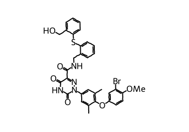 COc1ccc(Oc2c(C)cc(-n3nc(C(=O)NCc4ccccc4Sc4ccccc4CO)c(=O)[nH]c3=O)cc2C)cc1Br